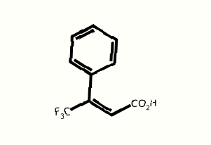 O=C(O)/C=C(\c1ccccc1)C(F)(F)F